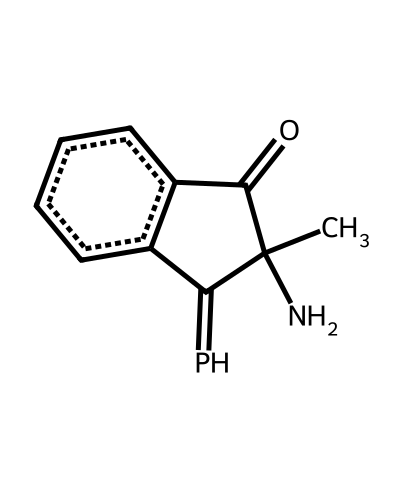 CC1(N)C(=O)c2ccccc2C1=P